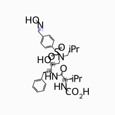 CC(C)CN(C[C@@H](O)[C@H](Cc1ccccc1)NC(=O)[C@H](NC(=O)O)C(C)C)S(=O)(=O)c1ccc(/C=N/O)cc1